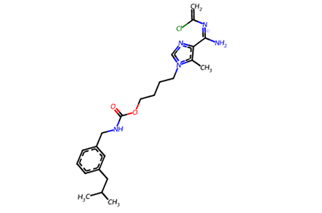 C=C(Cl)/N=C(/N)c1ncn(CCCCOC(=O)NCc2cccc(CC(C)C)c2)c1C